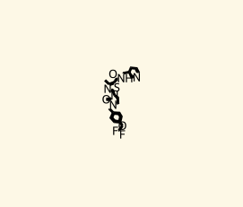 Cc1nc(N2CCN(Cc3ccc(OC(F)F)cc3)C2=O)sc1C(=O)NCC1C=NC=CC1